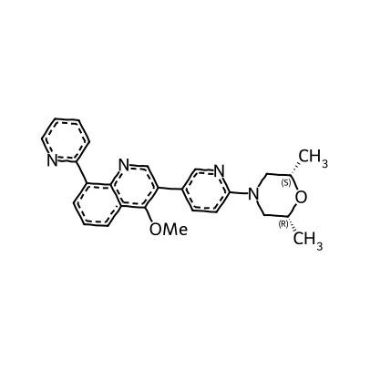 COc1c(-c2ccc(N3C[C@@H](C)O[C@@H](C)C3)nc2)cnc2c(-c3ccccn3)cccc12